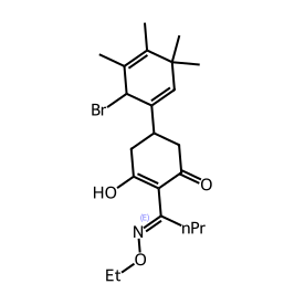 CCC/C(=N\OCC)C1=C(O)CC(C2=CC(C)(C)C(C)=C(C)C2Br)CC1=O